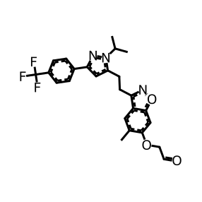 Cc1cc2c(CCc3cc(-c4ccc(C(F)(F)F)cc4)nn3C(C)C)noc2cc1OCC=O